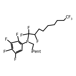 CCCC(C)CP(c1cc(F)c(F)c(F)c1F)C(F)(F)C(F)CCCCCCC(F)(F)F